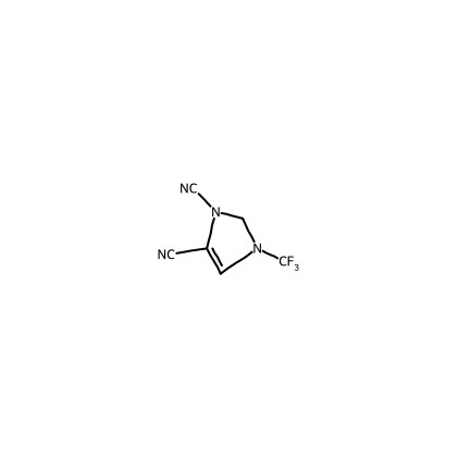 N#CC1=CN(C(F)(F)F)CN1C#N